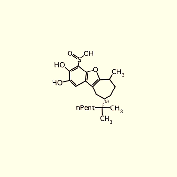 CCCCCC(C)(C)[C@H]1CCC(C)c2oc3c(S(=O)O)c(O)c(O)cc3c2C1